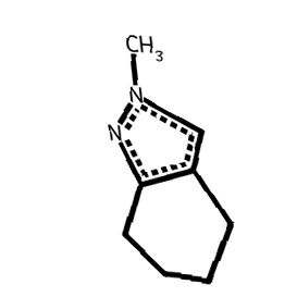 Cn1cc2c(n1)CCCC2